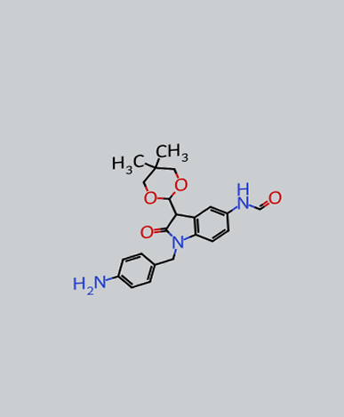 CC1(C)COC(C2C(=O)N(Cc3ccc(N)cc3)c3ccc(NC=O)cc32)OC1